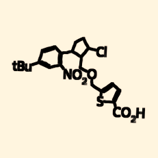 CC(C)(C)c1ccc(C2CCC(Cl)C2COCc2ccc(C(=O)O)s2)c([N+](=O)[O-])c1